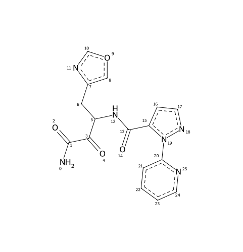 NC(=O)C(=O)C(Cc1cocn1)NC(=O)c1ccnn1-c1ccccn1